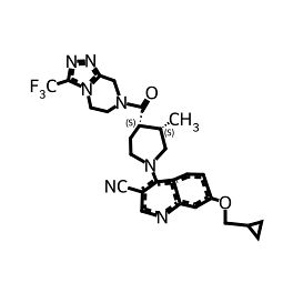 C[C@@H]1CN(c2c(C#N)cnc3cc(OCC4CC4)ccc23)CC[C@@H]1C(=O)N1CCn2c(nnc2C(F)(F)F)C1